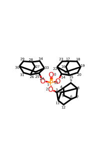 O=P(OC1C2CC3CC(C2)CC1C3)(OC1C2CC3CC(C2)CC1C3)OC1C2CC3CC(C2)CC1C3